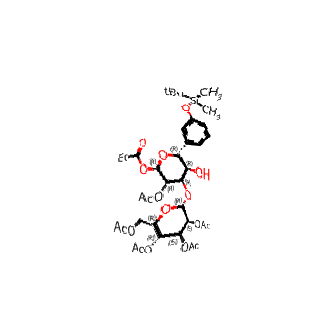 CCC(=O)O[C@H]1O[C@H](c2cccc(O[Si](C)(C)C(C)(C)C)c2)[C@@H](O)[C@@H](O[C@H]2O[C@H](COC(C)=O)[C@@H](OC(C)=O)[C@H](OC(C)=O)[C@@H]2OC(C)=O)[C@H]1OC(C)=O